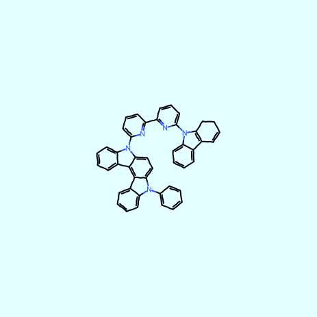 C1=Cc2c(n(-c3cccc(-c4cccc(-n5c6ccccc6c6c7c8ccccc8n(-c8ccccc8)c7ccc65)n4)n3)c3ccccc23)CC1